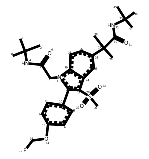 CC(C)(C)NC(=O)Cn1c(-c2ccc(OCF)cc2)c(S(C)(=O)=O)c2cc(C(C)(C)C(=O)NC(C)(C)C)ccc21